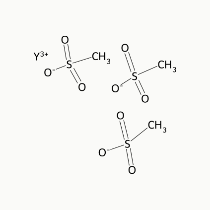 CS(=O)(=O)[O-].CS(=O)(=O)[O-].CS(=O)(=O)[O-].[Y+3]